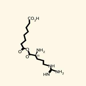 N=C(N)NCCC[C@H](N)C(=O)OC(=O)CCCCCCC(=O)O